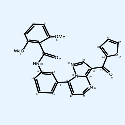 COc1cccc(OC)c1C(=O)Nc1cccc(-c2ccnc3c(C(=O)c4cccs4)cnn23)c1